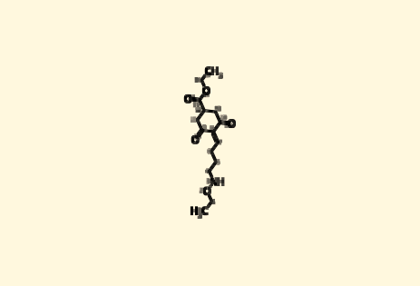 CCONCCCC=C1C(=O)CC(C(=O)OCC)CC1=O